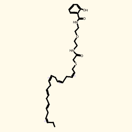 CC/C=C\CC=CCC=CC/C=C\C/C=C\C/C=C\CSCC(=O)NCCOCCNC(=O)c1ccccc1O